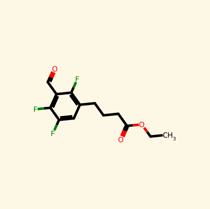 CCOC(=O)CCCc1cc(F)c(F)c(C=O)c1F